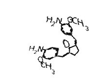 COc1cc(C=C2CCC(=Cc3ccc(N)c(OC)c3)C2=O)ccc1N